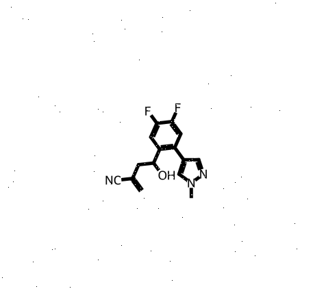 C=C(C#N)CC(O)c1cc(F)c(F)cc1-c1cnn(C)c1